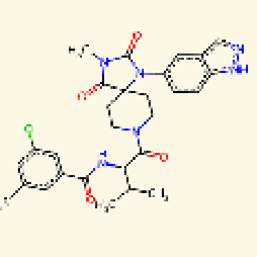 Cc1cc(Cl)cc(C(=O)N[C@@H](C(=O)N2CCC3(CC2)C(=O)N(C)C(=O)N3c2ccc3[nH]ncc3c2)C(C)C)c1